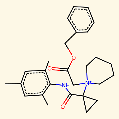 Cc1cc(C)c(NC(=O)C2([N+]3(CC(=O)OCc4ccccc4)CCCCC3)CC2)c(C)c1